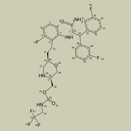 NC(=O)[C@@H](Nc1cccc(F)c1CC[C@@H]1CN[C@H](COC(=O)NCC(F)(F)F)CO1)C(c1cccc(F)c1)c1cccc(F)c1